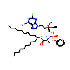 C#C[C@](CCn1cnc2c(N)nc(F)nc21)(COP(=O)(N[C@@H](C)C(=O)OC(CCCCCCCCC)CCCCCCCCC)Oc1ccccc1)OC